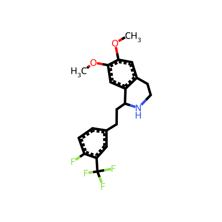 COc1cc2c(cc1OC)C(CCc1ccc(F)c(C(F)(F)F)c1)NCC2